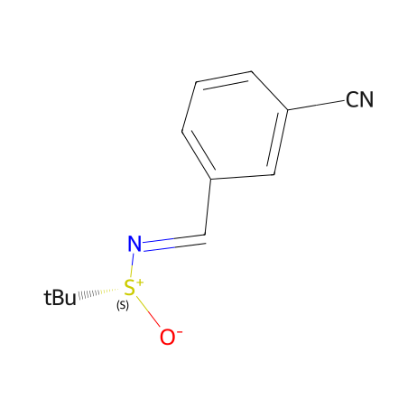 CC(C)(C)[S@@+]([O-])N=Cc1cccc(C#N)c1